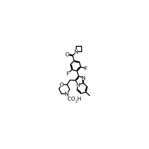 Cc1ccn2c(CC3CN(C(=O)O)CCO3)c(-c3c(F)cc(C(=O)N4CCC4)cc3F)nc2c1